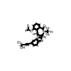 [2H]C([2H])([2H])N1C(=O)c2cccc(OC(F)F)c2[C@H]2C[C@@H]1c1nc3ccc(C#C[C@H](O)CC)cc3n12